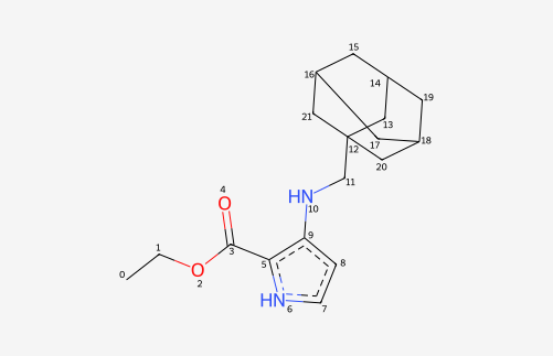 CCOC(=O)c1[nH]ccc1NCC12CC3CC(CC(C3)C1)C2